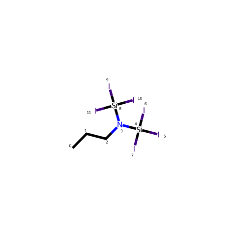 CCCN([Si](I)(I)I)[Si](I)(I)I